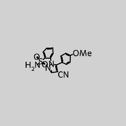 COc1ccc(-c2c(C#N)cnn2-c2ccccc2S(N)(=O)=O)cc1